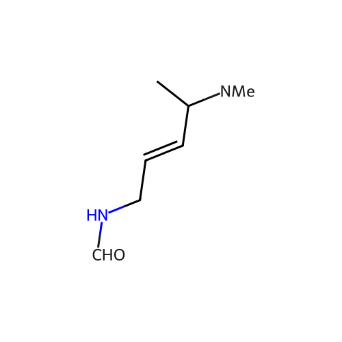 CNC(C)/C=C/CNC=O